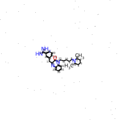 C[C@@H]1CCC[C@H](C)N1CCCCCn1c(=O)c(Cc2cccc(C(=N)N)c2)nc2ccccc21